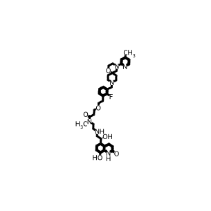 Cc1ccnc(N2CCOC3(CCN(Cc4cccc(CCOCCC(=O)N(C)CCNC[C@H](O)c5ccc(O)c6[nH]c(=O)ccc56)c4F)CC3)C2)c1